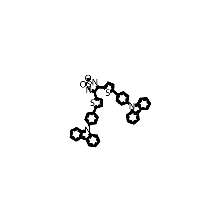 O=S1(=O)N=C(c2ccc(-c3ccc(-n4c5ccccc5c5ccccc54)cc3)s2)C(c2ccc(-c3ccc(-n4c5ccccc5c5ccccc54)cc3)s2)=N1